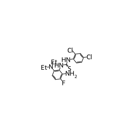 CCN(CC)c1ccc(F)c(N)c1NC(=S)Nc1ccc(Cl)cc1Cl